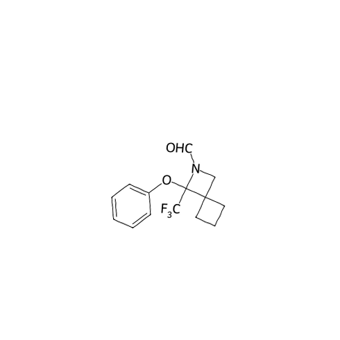 O=CN1CC2(CCC2)C1(Oc1ccccc1)C(F)(F)F